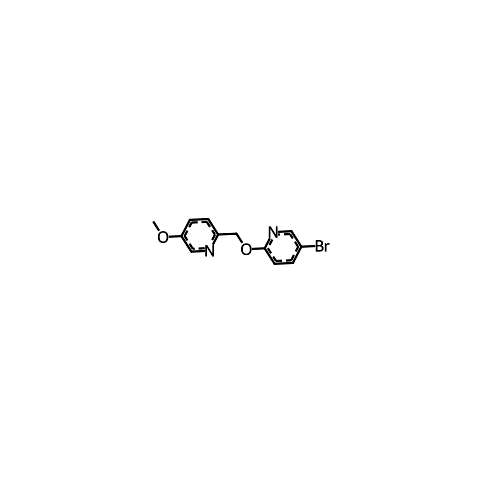 COc1ccc(COc2ccc(Br)cn2)nc1